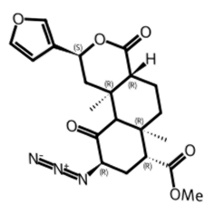 COC(=O)[C@@H]1C[C@@H](N=[N+]=[N-])C(=O)C2[C@@]1(C)CC[C@H]1C(=O)O[C@H](c3ccoc3)C[C@]21C